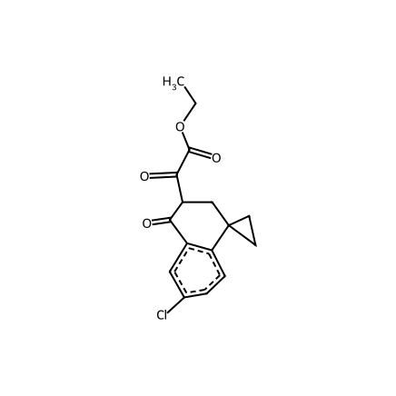 CCOC(=O)C(=O)C1CC2(CC2)c2ccc(Cl)cc2C1=O